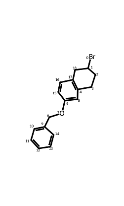 BrC1CCc2cc(OCc3ccccc3)ccc2C1